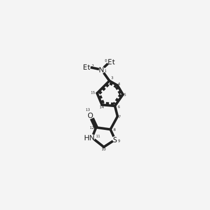 CCN(CC)c1ccc(CC2SCNC2=O)cc1